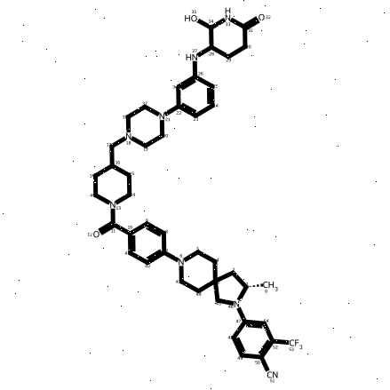 C[C@H]1CC2(CCN(c3ccc(C(=O)N4CCC(CN5CCN(c6cccc(NC7CCC(=O)NC7O)c6)CC5)CC4)cc3)CC2)CN1c1ccc(C#N)c(C(F)(F)F)c1